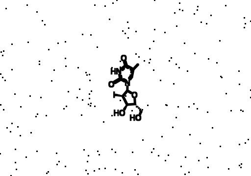 Cc1cn(C2O[C@H](CO)[C@@H](O)[C@H]2I)c(=O)[nH]c1=O